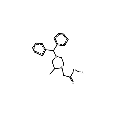 CC1CN(C(c2ccccc2)c2ccccc2)CCN1CC(=O)OC(C)(C)C